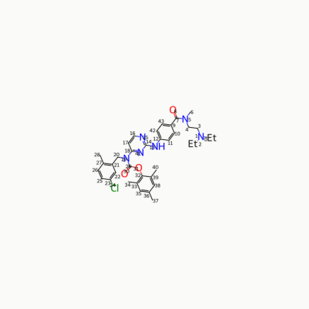 CCN(CC)CCN(C)C(=O)c1ccc(Nc2nccc(N(Cc3cc(Cl)ccc3C)C(=O)Oc3c(C)cc(C)cc3C)n2)cc1